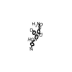 N#Cc1ccc([C@H](O)CN2CCN(c3ccc(OCC(N)=O)cc3Cl)[C@H](c3ccc(Cl)cc3)C2)cc1